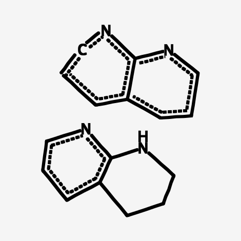 c1cnc2c(c1)CCCN2.c1cnc2ncccc2c1